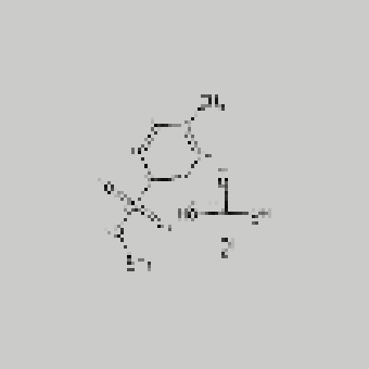 COS(=O)(=O)c1ccc(C)cc1.O=P(O)(O)O